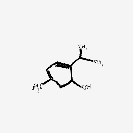 CC1=CC=C(C(C)C)C(O)C1